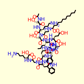 CCCCCCCCCCCC(=O)NCCC(=O)N(C(=O)[C@H](CCCCN)NC(=O)[C@H](CO)NC(C)=O)[C@@H](CO)C(=O)N[C@@H](CCCC)C(=O)N[C@@H](CCC(=O)O)C(=O)N[C@@H](CO)C(=O)N[C@H](Cc1ccccc1)C(=O)N[C@@H](CCCNC(=N)N)C(=O)N[C@@H](Cc1c[nH]c2ccccc12)C(=O)NCC(=O)N[C@@H](CCCCN)C(=O)O